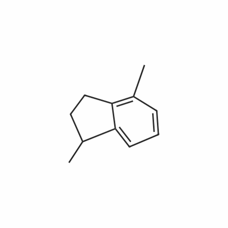 Cc1cccc2c1CCC2C